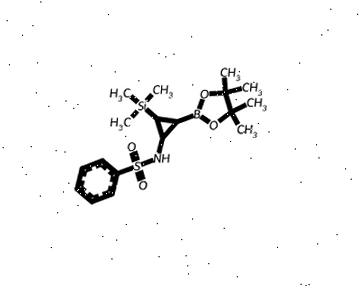 CC1(C)OB(C2C(NS(=O)(=O)c3ccccc3)C2[Si](C)(C)C)OC1(C)C